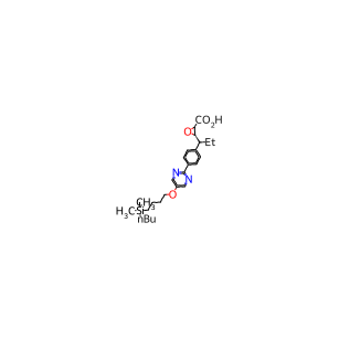 CCCC[Si](C)(C)CCCCOc1cnc(-c2ccc(C(CC)[C@H]3O[C@H]3C(=O)O)cc2)nc1